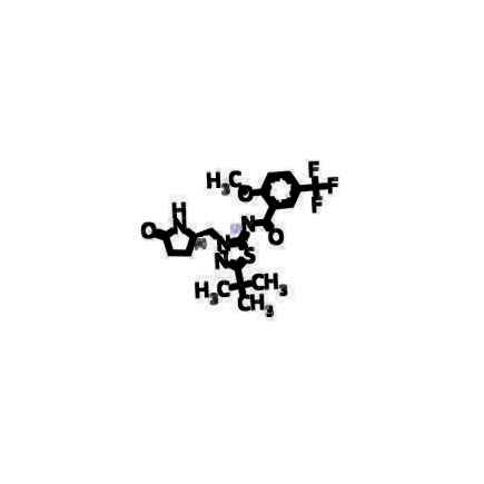 COc1ccc(C(F)(F)F)cc1C(=O)/N=c1\sc(C(C)(C)C)nn1C[C@H]1CCC(=O)N1